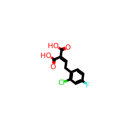 O=C(O)C(=CCc1ccc(F)cc1Cl)C(=O)O